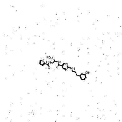 O=C(NC(CNC(=O)c1cccs1)C(=O)O)c1cnc(NCCCc2cccc(O)c2)nc1